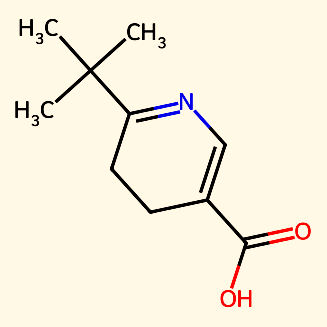 CC(C)(C)C1=NC=C(C(=O)O)CC1